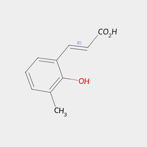 Cc1cccc(/C=C/C(=O)O)c1O